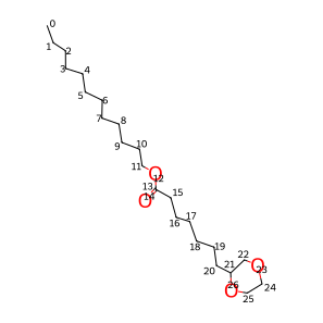 CCCCCCCCCCCCOC(=O)CCCCCCC1COCCO1